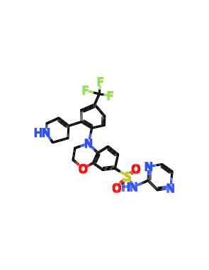 O=S(=O)(Nc1cnccn1)c1ccc2c(c1)OCCN2c1ccc(C(F)(F)F)cc1C1=CCNCC1